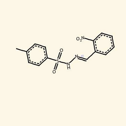 Cc1ccc(S(=O)(=O)N/N=C/c2ccccc2[N+](=O)[O-])cc1